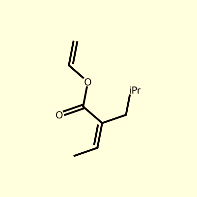 C=COC(=O)C(=CC)CC(C)C